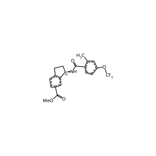 COC(=O)c1ccc2c(c1)[C@H](NC(=O)c1ccc(OC(F)(F)F)cc1C)CC2